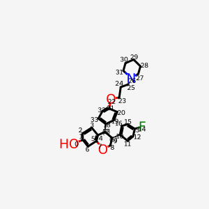 Oc1ccc2c(c1)OC[C@H](c1ccc(F)cc1)[C@@H]2c1ccc(OCCCN2CCCCC2)cc1